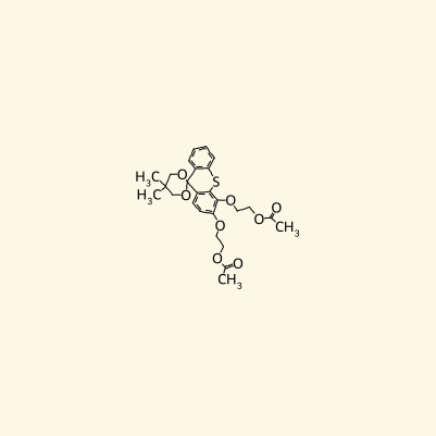 CC(=O)OCCOc1ccc2c(c1OCCOC(C)=O)Sc1ccccc1C21OCC(C)(C)CO1